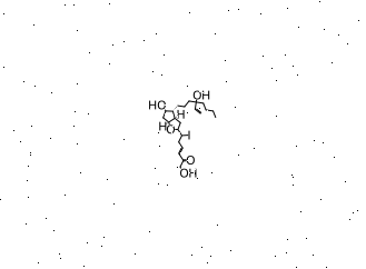 C=CC(O)(CCCC)CCC[C@@H]1[C@H]2CC(C(I)CC=CC(=O)CO)O[C@H]2C[C@H]1O